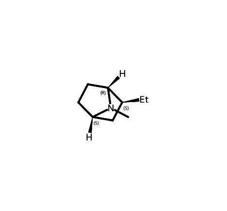 CC[C@H]1C[C@@H]2CC[C@H]1N2C